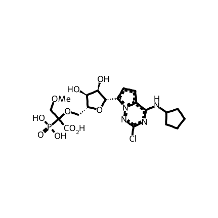 COCC(OC[C@H]1O[C@@H](c2ccc3c(NC4CCCC4)nc(Cl)nn23)[C@H](O)[C@@H]1O)(C(=O)O)P(=O)(O)O